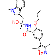 CCCOc1ccc(-c2c(C)noc2C)cc1C(=O)N[C@](C)(O)Cc1cn(C)c2ccccc12